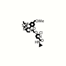 COCc1ccc(C2c3c(nc4sc(C)nn34)CCN2C(=O)COc2ccc(C(=O)NC3CC3)nc2Cl)c(F)c1